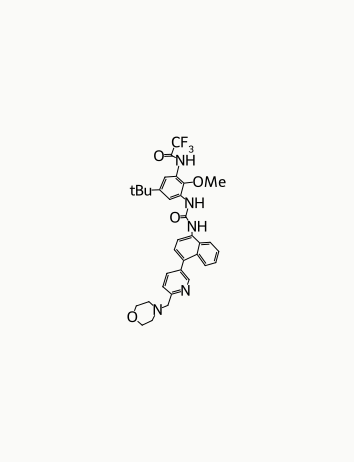 COc1c(NC(=O)Nc2ccc(-c3ccc(CN4CCOCC4)nc3)c3ccccc23)cc(C(C)(C)C)cc1NC(=O)C(F)(F)F